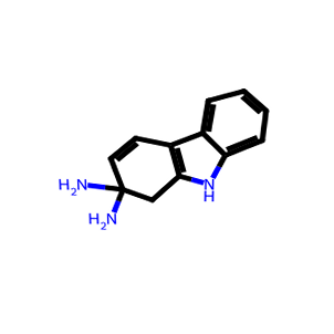 NC1(N)C=Cc2c([nH]c3ccccc23)C1